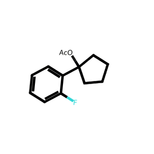 CC(=O)OC1(c2ccccc2F)CCCC1